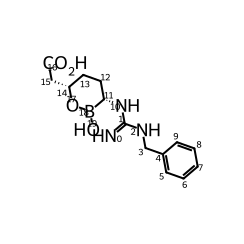 N=C(NCc1ccccc1)N[C@H]1CC[C@@H](CC(=O)O)OB1O